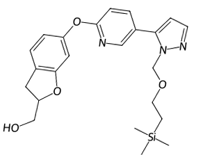 C[Si](C)(C)CCOCn1nccc1-c1ccc(Oc2ccc3c(c2)OC(CO)C3)nc1